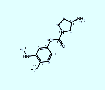 CCNc1cc(OC(=O)N2CC[C@@H](N)C2)ccc1C